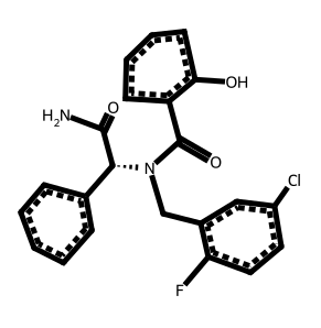 NC(=O)[C@@H](c1ccccc1)N(Cc1cc(Cl)ccc1F)C(=O)c1ccccc1O